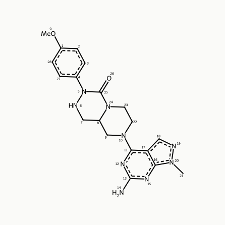 COc1ccc(N2NCC3CN(c4nc(N)nc5c4cnn5C)CCN3C2=O)cc1